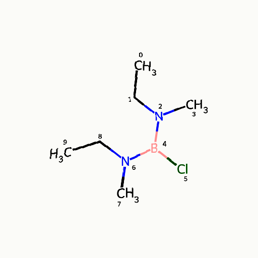 CCN(C)B(Cl)N(C)CC